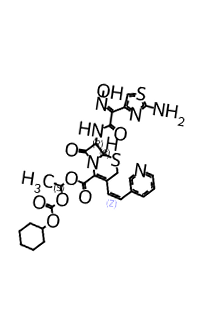 C[C@H](OC(=O)OC1CCCCC1)OC(=O)C1=C(/C=C\c2cccnc2)CS[C@H]2[C@H](NC(=O)C(=NO)c3csc(N)n3)C(=O)N12